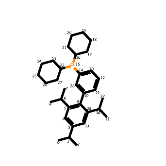 CC(C)c1cc(C(C)C)c(-c2cccc(P(C3CCCCC3)C3CCCCC3)c2)c(C(C)C)c1